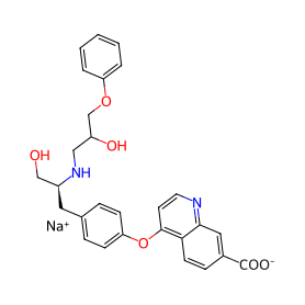 O=C([O-])c1ccc2c(Oc3ccc(C[C@@H](CO)NCC(O)COc4ccccc4)cc3)ccnc2c1.[Na+]